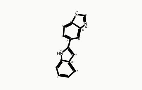 c1ccc2[nH]c(-c3ccc4scnc4c3)cc2c1